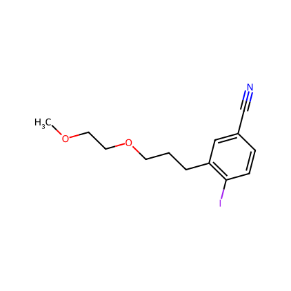 COCCOCCCc1cc(C#N)ccc1I